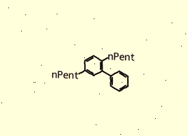 CCCCCc1ccc(CCCCC)c(-c2ccccc2)c1